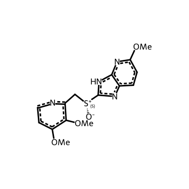 COc1ccc2nc([S@+]([O-])Cc3nccc(OC)c3OC)[nH]c2n1